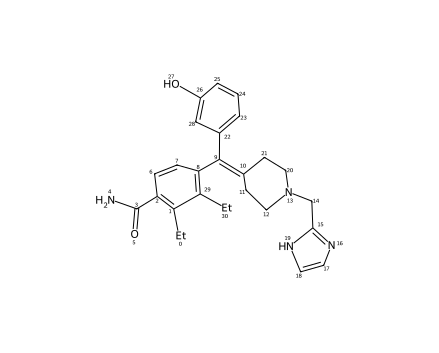 CCc1c(C(N)=O)ccc(C(=C2CCN(Cc3ncc[nH]3)CC2)c2cccc(O)c2)c1CC